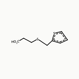 O=C(O)CCSCc1cccs1